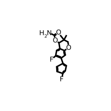 CC1(C)COc2cc(-c3ccc(F)cc3)c(F)cc2C1OC(N)=O